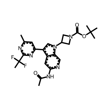 CC(=O)Nc1cc2c(-c3cc(C)nc(C(C)(F)F)n3)cn(C3CN(C(=O)OC(C)(C)C)C3)c2cn1